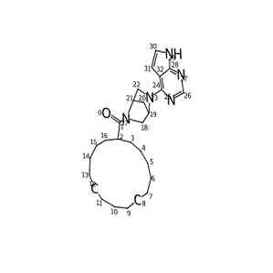 O=C(C1CCCCCCCCCCCCCC1)N1CC2CC1CN2c1ncnc2[nH]ccc12